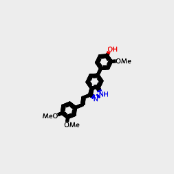 COc1cc(-c2ccc3c(/C=C/c4ccc(OC)c(OC)c4)n[nH]c3c2)ccc1O